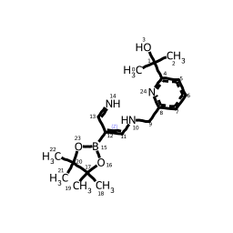 CC(C)(O)c1cccc(CN/C=C(\C=N)B2OC(C)(C)C(C)(C)O2)n1